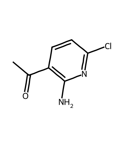 CC(=O)c1ccc(Cl)nc1N